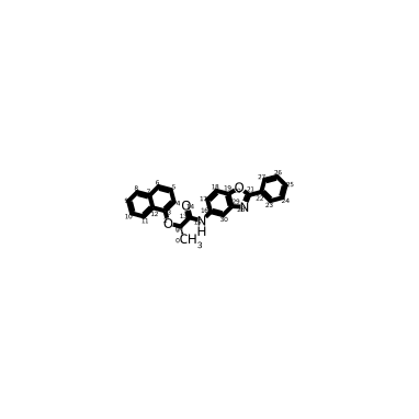 C[C@H](Oc1cccc2ccccc12)C(=O)Nc1ccc2oc(-c3ccccc3)nc2c1